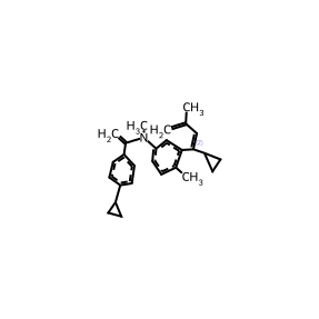 C=C(C)/C=C(\c1cc(N(C)C(=C)c2ccc(C3CC3)cc2)ccc1C)C1CC1